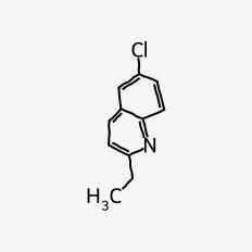 CCc1ccc2cc(Cl)ccc2n1